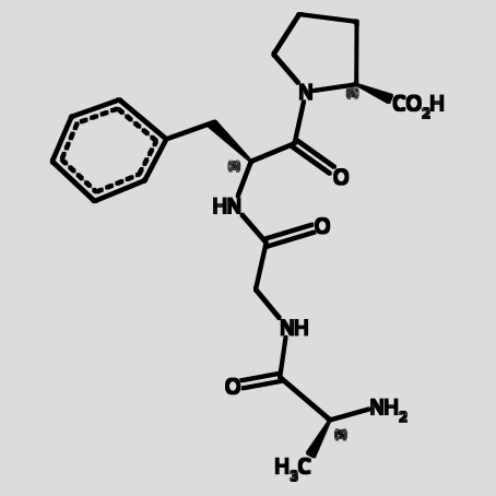 C[C@H](N)C(=O)NCC(=O)N[C@@H](Cc1ccccc1)C(=O)N1CCC[C@H]1C(=O)O